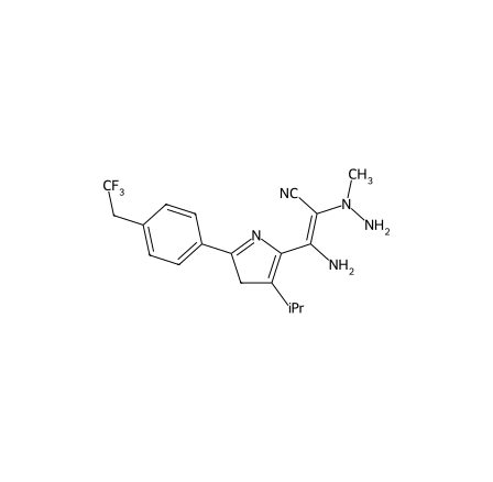 CC(C)C1=C(/C(N)=C(\C#N)N(C)N)N=C(c2ccc(CC(F)(F)F)cc2)C1